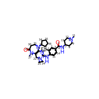 CCc1cc(C(=O)NC2CCN(C)CC2)ccc1NC1=NC2=C(C[N+]13CC3)N(C)C(=O)CCN2C1CCCC1